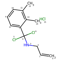 C=CCNC(Cl)(Cl)c1cccc(C)c1C.Cl